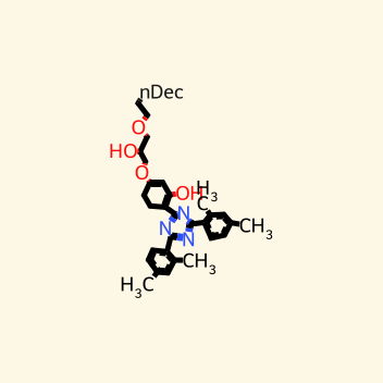 CCCCCCCCCCCCOCC(O)COC1=CC(O)=C(c2nc(-c3ccc(C)cc3C)nc(-c3ccc(C)cc3C)n2)CC1